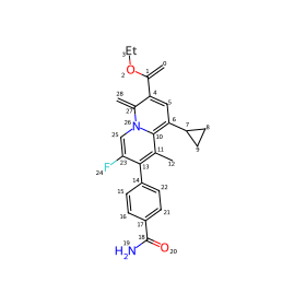 C=C(OCC)C1=CC(C2CC2)=C2C(C)=C(c3ccc(C(N)=O)cc3)C(F)=CN2C1=C